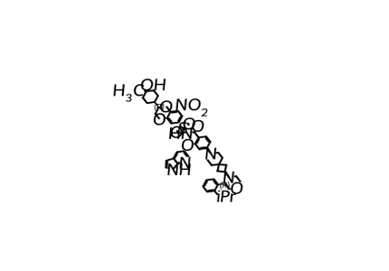 CC(C)c1ccccc1[C@@H]1COCCN1C1CC2(CCN(c3ccc(C(=O)NS(=O)(=O)c4cc5c(c([N+](=O)[O-])c4)O[C@H](C4CCC(C)(O)CC4)CO5)c(Oc4cnc5[nH]ccc5c4)c3)CC2)C1